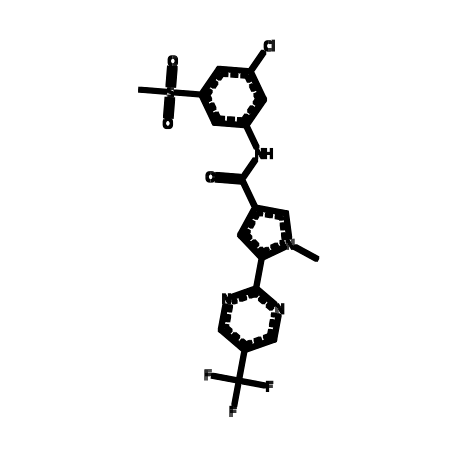 Cn1cc(C(=O)Nc2cc(Cl)cc(S(C)(=O)=O)c2)cc1-c1ncc(C(F)(F)F)cn1